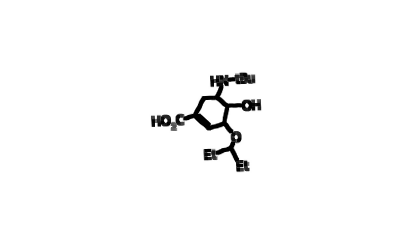 CCC(CC)OC1C=C(C(=O)O)CC(NC(C)(C)C)C1O